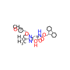 COc1ccc(COCn2c(C[C@H](NC(=O)OCC3c4ccccc4-c4ccccc43)C(=O)O)cnc2C(C)C)cc1